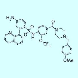 COc1ccc(CN2CCN(C(=O)c3ccc(NS(=O)(=O)c4ccc(N)cc4-c4cccc5cccnc45)c(OC(F)(F)F)c3)CC2)cc1